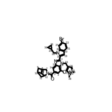 COc1cc(C(=O)N2CC3CC4CC2[C@H]43)cc2nc(-c3cc4ccc(Br)cc4n3CC3CC3)n(Cc3cnn(C)c3)c12